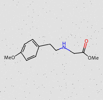 COC(=O)CNCCc1ccc(OC)cc1